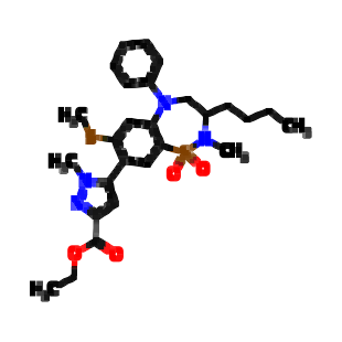 CCCCC1CN(c2ccccc2)c2cc(SC)c(-c3cc(C(=O)OCC)nn3C)cc2S(=O)(=O)N1C